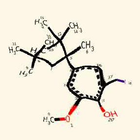 COc1cc(C(C)(CC(C)(C)C)C(C)(C)C)cc(I)c1O